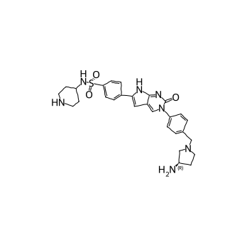 N[C@@H]1CCN(Cc2ccc(-n3cc4cc(-c5ccc(S(=O)(=O)NC6CCNCC6)cc5)[nH]c4nc3=O)cc2)C1